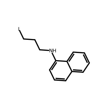 ICCCNc1cccc2ccccc12